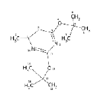 CC1CC(OC(C)(C)C)=NC(OC(C)(C)C)=N1